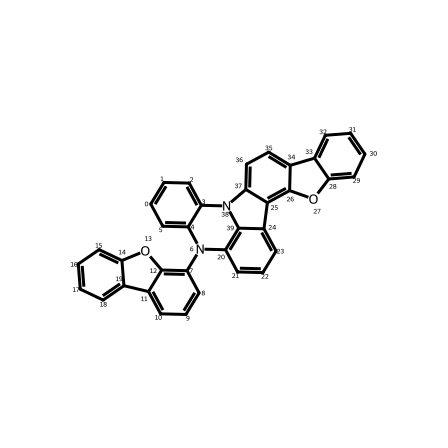 c1ccc2c(c1)N(c1cccc3c1oc1ccccc13)c1cccc3c4c5oc6ccccc6c5ccc4n-2c13